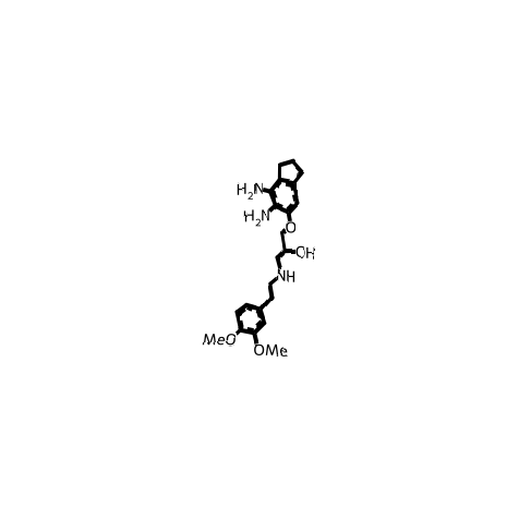 COc1ccc(CCNCC(O)COc2cc3c(c(N)c2N)CCC3)cc1OC